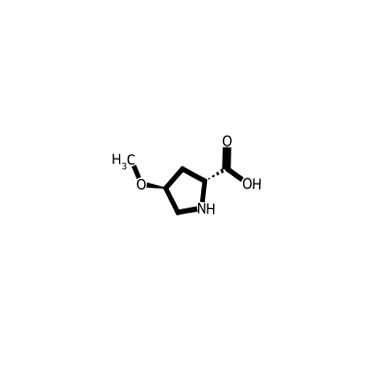 CO[C@@H]1CN[C@@H](C(=O)O)C1